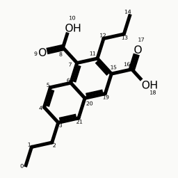 CCCc1ccc2c(C(=O)O)c(CCC)c(C(=O)O)cc2c1